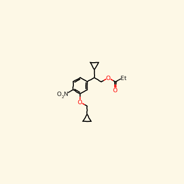 CCC(=O)OCC(c1ccc([N+](=O)[O-])c(OCC2CC2)c1)C1CC1